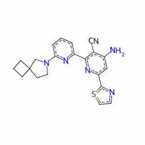 N#Cc1c(N)cc(-c2nccs2)nc1-c1cccc(N2CCC3(CCC3)C2)n1